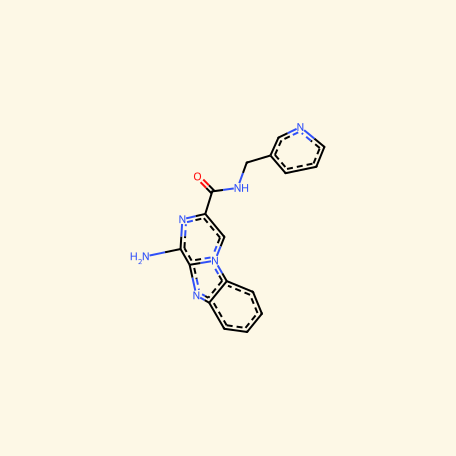 Nc1nc(C(=O)NCc2cccnc2)cn2c1nc1ccccc12